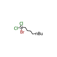 CCCCCCCC[Si](Cl)(Cl)Br